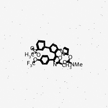 CNC(=O)Oc1ccn(-c2ccc(-c3cccc(S(C)(=O)=O)c3)cc2-c2oc(C)nc2-c2ccc(OC(F)(F)F)cc2)n1